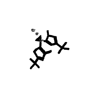 CC1=[C]([Zr+2]2([C]3=CC(C(C)(C)C)=CC3C)[CH2][CH2]2)CC(C(C)(C)C)=C1.[Cl-].[Cl-]